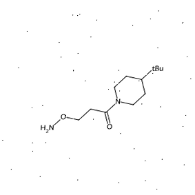 CC(C)(C)C1CCN(C(=O)CCON)CC1